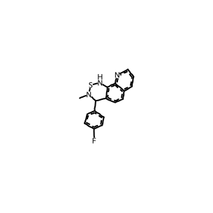 CN1SNc2c(ccc3cccnc23)C1c1ccc(F)cc1